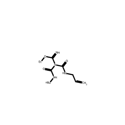 C=CCNC(=O)N(C(=N)OCC)C(=O)NCCCC